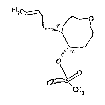 C=CC[C@@H]1COCC[C@@H]1OS(C)(=O)=O